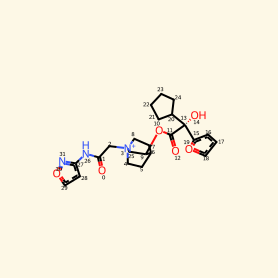 O=C(C[N+]12CCC(CC1)C(OC(=O)[C@](O)(c1ccco1)C1CCCC1)C2)Nc1ccon1